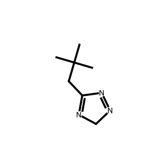 CC(C)(C)CC1=NCN=N1